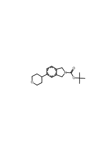 CC(C)(C)OC(=O)N1Cc2ccc(C3CCOCC3)cc2C1